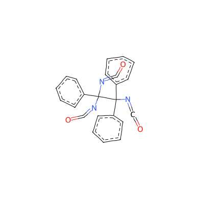 O=C=NC(N=C=O)(c1ccccc1)C(N=C=O)(c1ccccc1)c1ccccc1